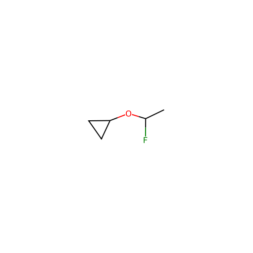 CC(F)OC1CC1